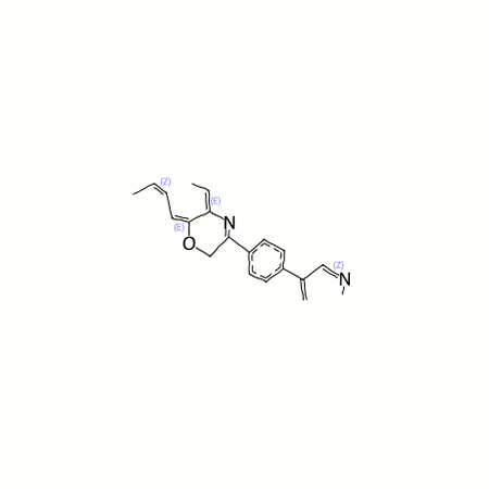 C=C(/C=N\C)c1ccc(C2=NC(=C/C)/C(=C\C=C/C)OC2)cc1